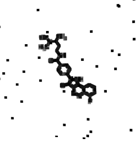 CC(CCNC(=O)c1ccc(-n2[nH]c3c(nnc4c(F)cccc43)c2=O)cc1)N(C)C(C)(C)C